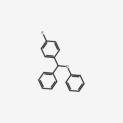 Fc1ccc(C(Oc2[c]cccc2)c2ccccc2)cc1